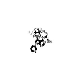 CC(C)(C)OC(=O)N(C(=O)O)c1ncnc2c1c(B1OC(C)(C)C(C)(C)O1)cn2-c1cccnc1